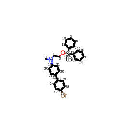 CN(CCO[Si](c1ccccc1)(c1ccccc1)C(C)(C)C)c1ccc(-c2ccc(Br)cc2)cc1